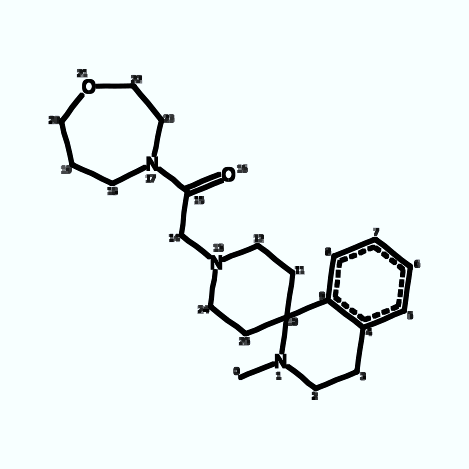 CN1CCc2ccccc2C12CCN(CC(=O)N1CCCOCC1)CC2